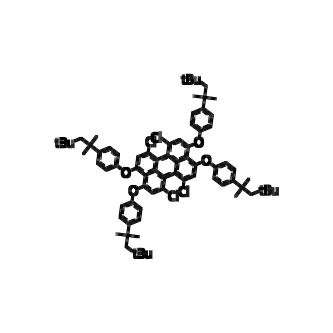 CC(C)(C)CC(C)(C)c1ccc(Oc2cc(Cl)c3c4c(Cl)cc(Oc5ccc(C(C)(C)CC(C)(C)C)cc5)c5c(Oc6ccc(C(C)(C)CC(C)(C)C)cc6)cc(Cl)c(c6c(Cl)cc(Oc7ccc(C(C)(C)CC(C)(C)C)cc7)c2c36)c54)cc1